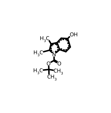 Cc1c(C)n(C(=O)OC(C)(C)C)c2ccc(O)cc12